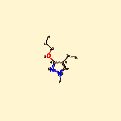 CCCOc1nn(C)cc1CC